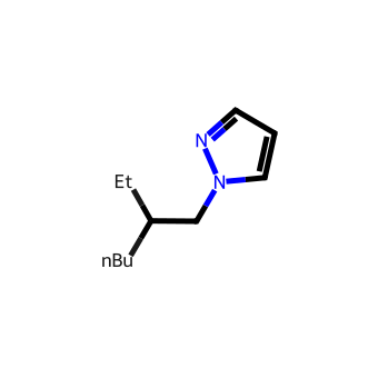 CCCCC(CC)Cn1cccn1